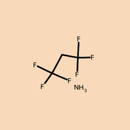 FC(F)(F)CC(F)(F)F.N